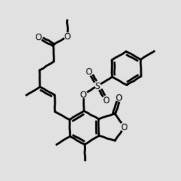 COC(=O)CC/C(C)=C/Cc1c(C)c(C)c2c(c1OS(=O)(=O)c1ccc(C)cc1)C(=O)OC2